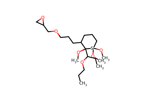 CCCOC(CC)C1(OC)C(CCCOCC2CO2)CCC[Si]1(OC)OC